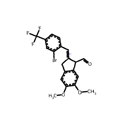 COc1cc2c(cc1OC)C(C=O)/C(=C/c1ccc(C(F)(F)F)cc1Br)C2